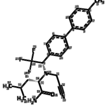 Cc1ccc(-c2ccc([C@H](N(CC#N)[C@@H](CC(C)C)C(N)=O)C(F)(F)F)cc2)cc1